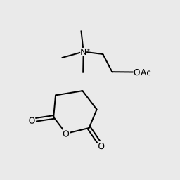 CC(=O)OCC[N+](C)(C)C.O=C1CCCC(=O)O1